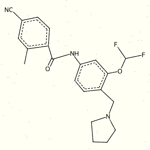 Cc1cc(C#N)ccc1C(=O)Nc1ccc(CN2CCCC2)c(OC(F)F)c1